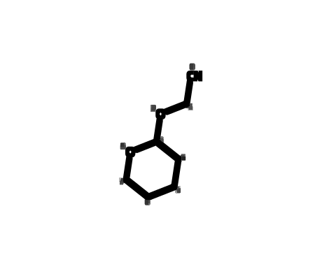 N#C[C]OC1CCCCO1